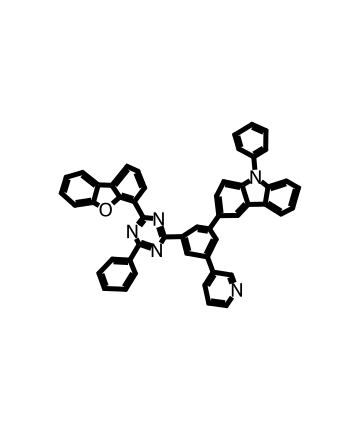 c1ccc(-c2nc(-c3cc(-c4cccnc4)cc(-c4ccc5c(c4)c4ccccc4n5-c4ccccc4)c3)nc(-c3cccc4c3oc3ccccc34)n2)cc1